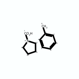 Cc1ccccc1.O=C(O)N1CCCC1